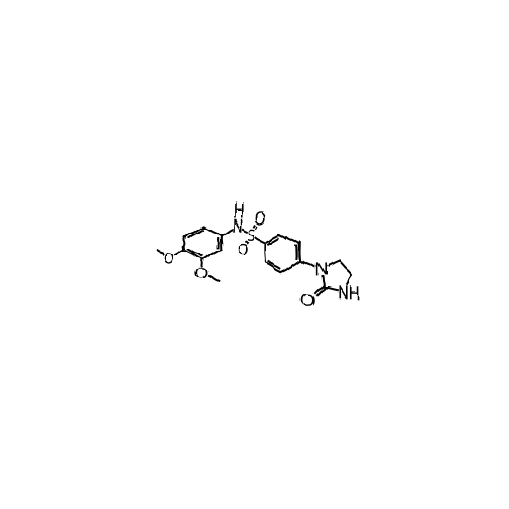 COc1ccc(NS(=O)(=O)c2ccc(N3CCNC3=O)cc2)cc1OC